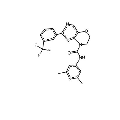 Cc1cc(NC(=O)N2CCOc3cnc(-c4cccc(C(F)(F)F)c4)nc32)cc(C)n1